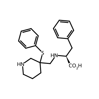 O=C(O)[C@H](Cc1ccccc1)NCC1(Sc2ccccc2)CCCNC1